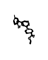 CCOC(=O)C1CCN(c2nccc(-c3cc(C)ccc3O)n2)CC1